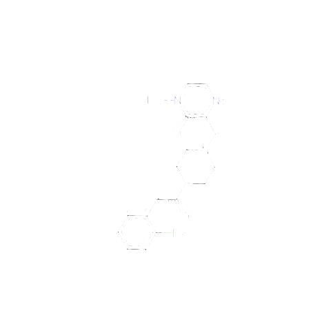 Cn1ccnc(CN2CCC(C(=O)Cc3ccccc3F)CC2)c1=O